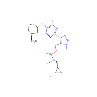 Cc1nc(-c2nnn(C)c2COC(=O)N(C)C[C@H]2C[C@@H]2C)cnc1O[C@H]1CCC[C@H](C(=O)O)C1